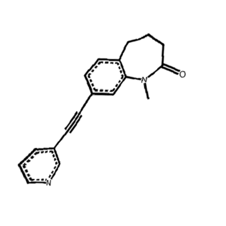 CN1C(=O)CCCc2ccc(C#Cc3cccnc3)cc21